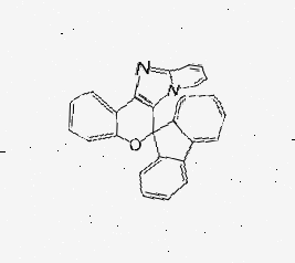 c1ccc2c(c1)OC1(c3ccccc3-c3ccccc31)c1c-2nc2ccccn12